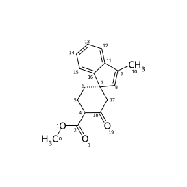 COC(=O)C1CC[C@]2(C=C(C)c3ccccc32)CC1=O